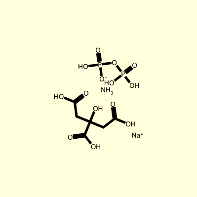 N.O=C(O)CC(O)(CC(=O)O)C(=O)O.O=P([O-])(O)OP(=O)(O)O.[Na+]